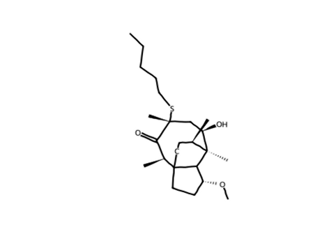 CCCCCS[C@]1(C)C[C@@H](O)[C@@]2(C)C3[C@H](OC)CCC3(CC[C@H]2C)[C@@H](C)C1=O